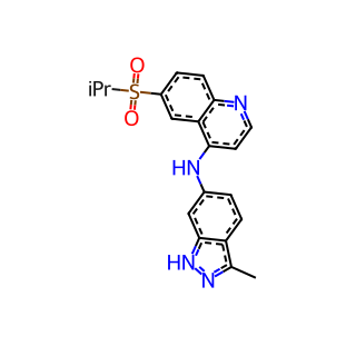 Cc1n[nH]c2cc(Nc3ccnc4ccc(S(=O)(=O)C(C)C)cc34)ccc12